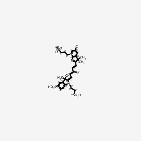 CC1(C)C(/C=C/C(Br)=C/C=C2/N(CCCS(=O)(=O)O)c3ccc(S(=O)(=O)O)cc3C2(C)C)=Nc2c1cc(Cl)c[n+]2CCCS(=O)(=O)[O-]